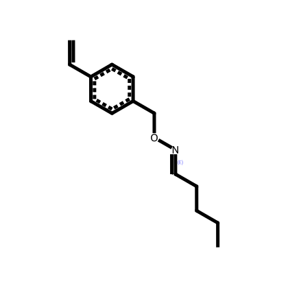 C=Cc1ccc(CO/N=[C]/CCCC)cc1